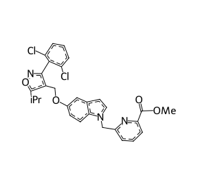 COC(=O)c1cccc(Cn2ccc3cc(OCc4c(-c5c(Cl)cccc5Cl)noc4C(C)C)ccc32)n1